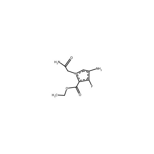 CCOC(=O)c1c(F)c(N)cn1CC(N)=O